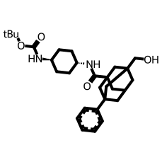 CC(C)(C)OC(=O)N[C@H]1CC[C@H](NC(=O)C23CC4CC(CO)(C2)CC(c2ccccc2)(C4)C3)CC1